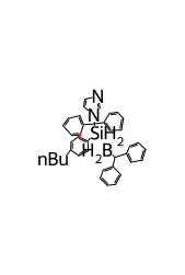 BC(c1ccccc1)c1ccccc1.CCCCc1ccc([SiH2]C(c2ccccc2)(c2ccccc2)n2ccnc2)cc1